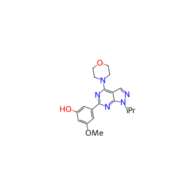 COc1cc(O)cc(-c2nc(N3CCOCC3)c3cnn(C(C)C)c3n2)c1